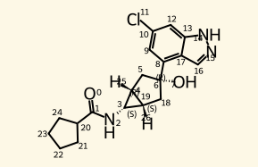 O=C(N[C@@H]1[C@@H]2C[C@@](O)(c3cc(Cl)cc4[nH]ncc34)C[C@@H]21)C1CCCC1